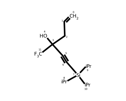 C=CCC(O)(C#C[Si](C(C)C)(C(C)C)C(C)C)C(F)(F)F